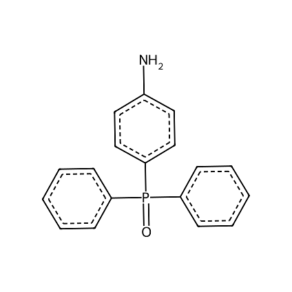 Nc1ccc(P(=O)(c2ccccc2)c2ccccc2)cc1